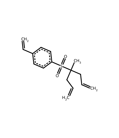 C=CCC(C)(CC=C)S(=O)(=O)c1ccc(C=C)cc1